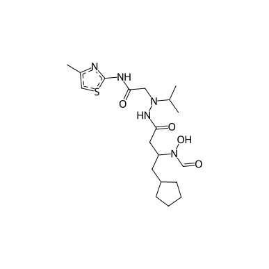 Cc1csc(NC(=O)CN(NC(=O)CC(CC2CCCC2)N(O)C=O)C(C)C)n1